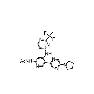 CC(=O)Nc1cc(Nc2ccnc(C(C)(F)F)n2)c(-c2cnc(N3CCCC3)cn2)cn1